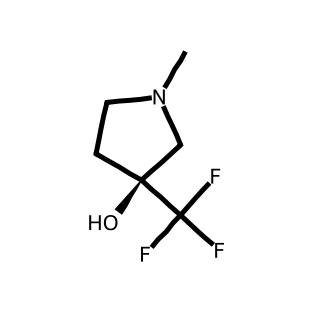 CN1CC[C@@](O)(C(F)(F)F)C1